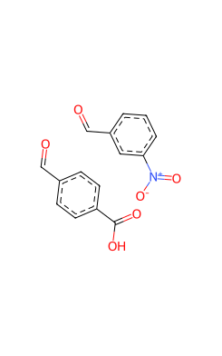 O=Cc1ccc(C(=O)O)cc1.O=Cc1cccc([N+](=O)[O-])c1